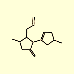 C=CCC1C(C)CC(=C)C1C1=CCC(C)C1